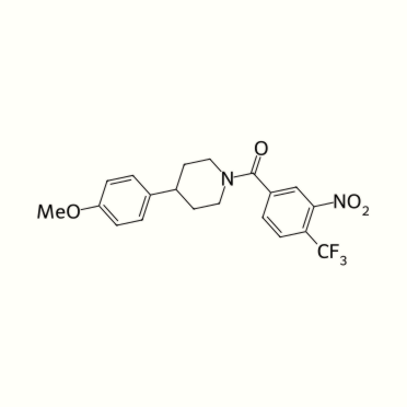 COc1ccc(C2CCN(C(=O)c3ccc(C(F)(F)F)c([N+](=O)[O-])c3)CC2)cc1